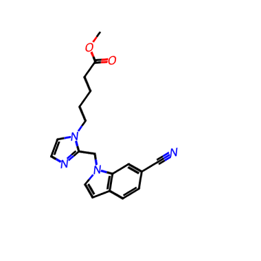 COC(=O)CCCCn1ccnc1Cn1ccc2ccc(C#N)cc21